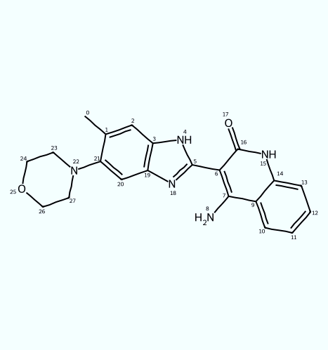 Cc1cc2[nH]c(-c3c(N)c4ccccc4[nH]c3=O)nc2cc1N1CCOCC1